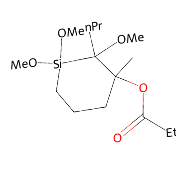 CCCC1(OC)C(C)(OC(=O)CC)CCC[Si]1(OC)OC